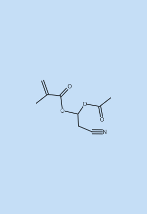 C=C(C)C(=O)OC(CC#N)OC(C)=O